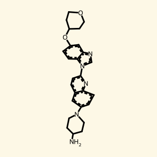 NC1CCN(c2ccc3nc(-n4cnc5cc(OC6CCOCC6)ccc54)ccc3c2)CC1